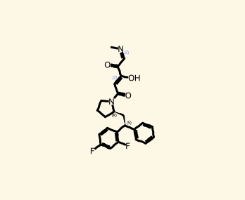 C/N=C\C(=O)/C(O)=C/C(=O)N1CCC[C@@H]1C[C@@H](c1ccccc1)c1ccc(F)cc1F